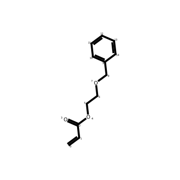 C=CC(=O)OCCOCc1ccccc1